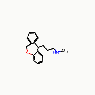 CNCCCC1c2ccccc2COc2ccccc21